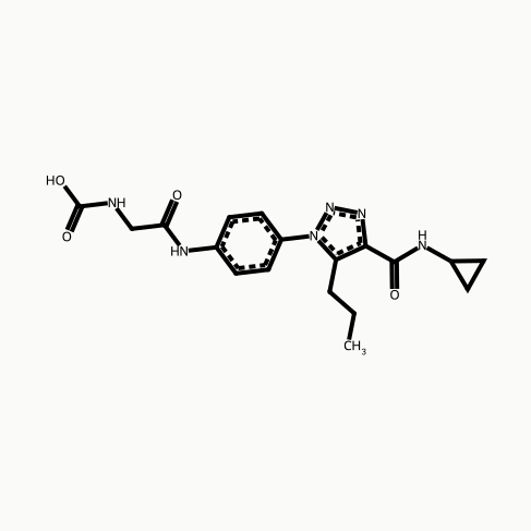 CCCc1c(C(=O)NC2CC2)nnn1-c1ccc(NC(=O)CNC(=O)O)cc1